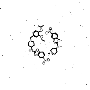 CCOc1cc(CN2CCC(Nc3nc4cc([N+](=O)[O-])ccc4o3)CC2)ccc1OC(C)C.O=[N+]([O-])c1ccc2oc(NC3CCNCC3)nc2c1